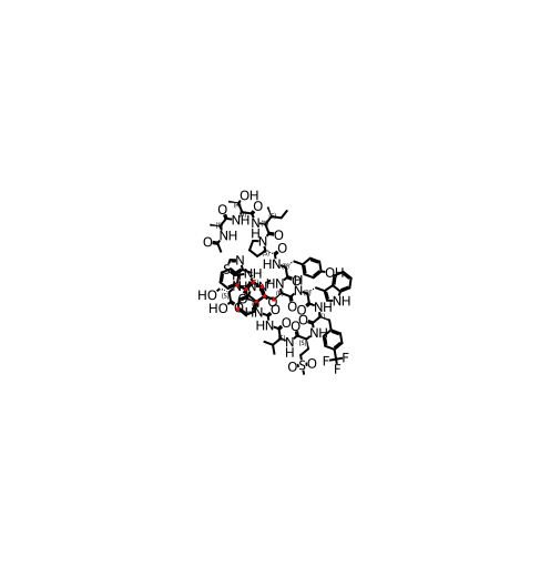 CC[C@H](C)[C@H](NC(=O)[C@H](NC(=O)[C@H](C)NC(C)=O)[C@@H](C)O)C(=O)N1CCC[C@H]1C(=O)N[C@H](Cc1ccc(O)cc1)C(=O)N[C@H](Cc1c[nH]c2ccccc12)C(=O)N[C@H](Cc1c[nH]c2ccccc12)C(=O)N[C@@H](Cc1ccc(C(F)(F)F)cc1)C(=O)N[C@@H](CCS(C)(=O)=O)C(=O)N[C@H](C(=O)NC(=O)N[C@@H](Cc1c[nH]c2ccccc12)C(=O)N(C)[C@@H](Cc1cscn1)C(=O)N[C@@H](CO)C(=O)O)C(C)C